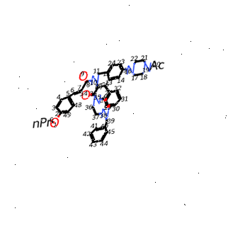 CCCOc1ccc(C=CC(=O)N(Cc2ccc(N3CCN(C(C)=O)CC3)cc2)[C@@H](Cc2ccccc2)C(=O)N2CCN(Cc3ccccc3)CC2)cc1